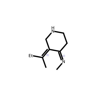 CC/C(C)=C1\CNCC\C1=N\C